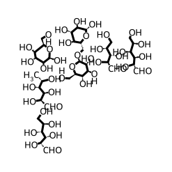 C[C@H](O)[C@@H](O)[C@@H](O)[C@H](O)C=O.O=C[C@@H](O)[C@@H](O)[C@H](O)CO.O=C[C@H](O)[C@@H](O)[C@H](O)[C@H](O)CO.O=C[C@H](O)[C@H](O)[C@@H](O)[C@H](O)CO.OC[C@H]1O[C@@H](O)[C@@H](O)[C@H](O)[C@H]1O.OC[C@H]1O[C@@H](OC[C@H]2O[C@@H](O)[C@H](O)[C@@H](O)[C@@H]2O)[C@H](O)[C@@H](O)[C@@H]1O